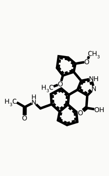 COc1cccc(OC)c1-c1[nH]nc(C(=O)O)c1-c1ccc(CNC(C)=O)c2ccccc12